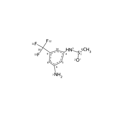 C[S+]([O-])Nc1cc(N)cc(C(F)(F)F)c1